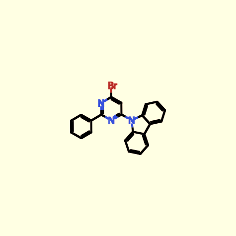 Brc1cc(-n2c3ccccc3c3ccccc32)nc(-c2ccccc2)n1